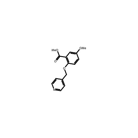 COC(=O)c1cc(OC)ccc1OCc1ccncc1